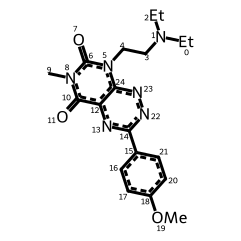 CCN(CC)CCn1c(=O)n(C)c(=O)c2nc(-c3ccc(OC)cc3)nnc21